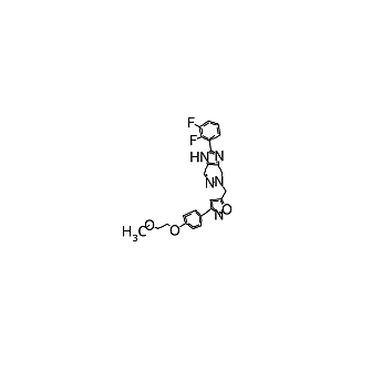 COCCOc1ccc(-c2cc(CN3Cc4nc(-c5cccc(F)c5F)[nH]c4C=N3)on2)cc1